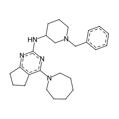 c1ccc(CN2CCCC(Nc3nc4c(c(N5CCCCCC5)n3)CCC4)C2)cc1